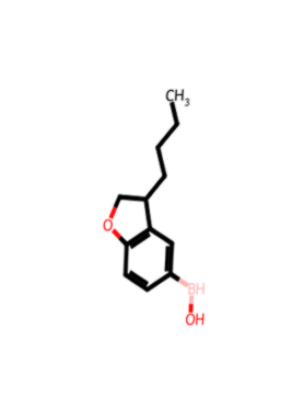 CCCCC1COc2ccc(BO)cc21